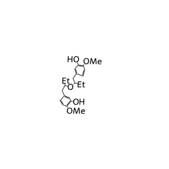 CCC(Cc1ccc(OC)c(O)c1)OC(CC)Cc1ccc(OC)c(O)c1